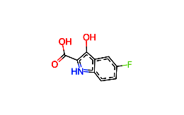 O=C(O)c1[nH]c2ccc(F)cc2c1O